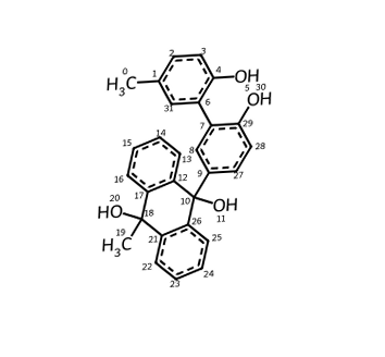 Cc1ccc(O)c(-c2cc(C3(O)c4ccccc4C(C)(O)c4ccccc43)ccc2O)c1